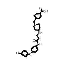 O=C(CCNC1CCN(Cc2ccc(C(=O)O)cc2)CC1)Nc1ccc(Oc2ccc(Cl)cc2)cc1